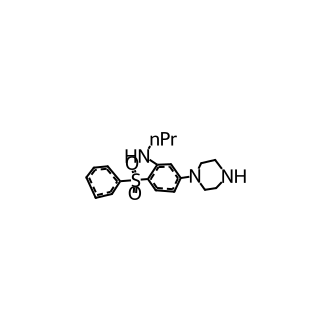 CCCNc1cc(N2CCNCC2)ccc1S(=O)(=O)c1ccccc1